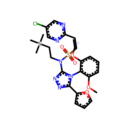 COc1cccc(OC)c1-n1c(-c2ccco2)nnc1N(CC[Si](C)(C)C)S(=O)(=O)/C=C\c1ncc(Cl)cn1